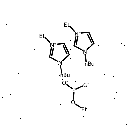 CCCCn1cc[n+](CC)c1.CCCCn1cc[n+](CC)c1.CCOP([O-])[O-]